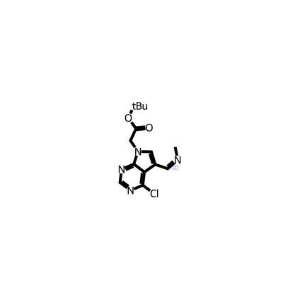 C/N=C\c1cn(CC(=O)OC(C)(C)C)c2ncnc(Cl)c12